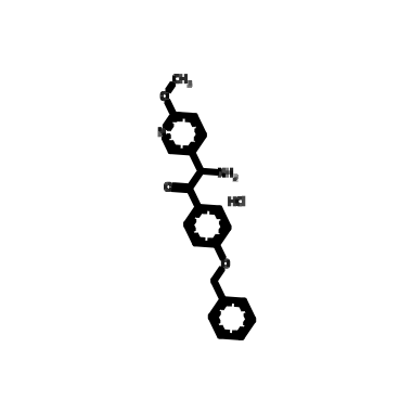 COc1ccc(C(N)C(=O)c2ccc(OCc3ccccc3)cc2)cn1.Cl